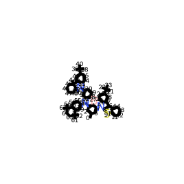 Cc1cc2c3c(c1)-n1c4sc5ccccc5c4c4cc(C(C)(C)C)cc(c41)B3c1ccc(N3c4ccc(C(C)(C)C)cc4C4(C)CCCCC34C)cc1N2c1ccc2c(c1)C(C)(C)CCC2(C)C